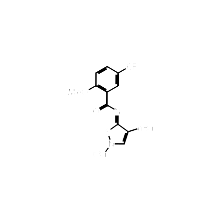 CCCCc1cn(C(C)(C)C)s/c1=N\C(=O)c1cc(C(F)(F)F)ccc1OC